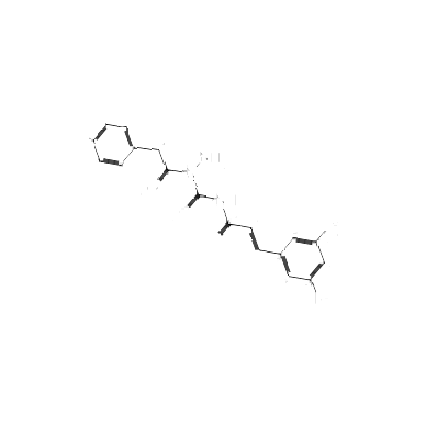 NN(C(=O)Cc1ccccc1)C(=S)NC(=O)/C=C/c1cc(Br)cc(Br)c1